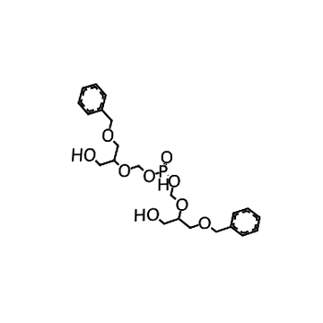 O=[PH](OCOC(CO)COCc1ccccc1)OCOC(CO)COCc1ccccc1